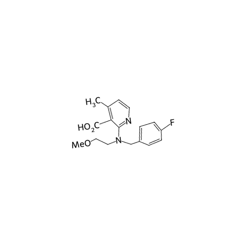 COCCN(Cc1ccc(F)cc1)c1nccc(C)c1C(=O)O